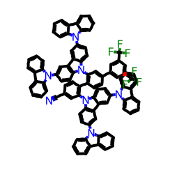 N#Cc1ccc(-c2ccc(-c3cc(C(F)(F)F)cc(C(F)(F)F)c3)cc2-n2c3ccc(-n4c5ccccc5c5ccccc54)cc3c3cc(-n4c5ccccc5c5ccccc54)ccc32)c(-n2c3ccc(-n4c5ccccc5c5ccccc54)cc3c3cc(-n4c5ccccc5c5ccccc54)ccc32)c1